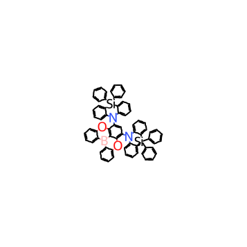 c1ccc([Si]2(c3ccccc3)c3ccccc3N(c3cc(N4c5ccccc5[Si](c5ccccc5)(c5ccccc5)c5ccccc54)c4c5c3Oc3ccccc3B5c3ccccc3O4)c3ccccc32)cc1